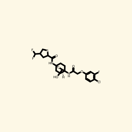 O=C(COc1ccc(Cl)c(F)c1)NC12CCC(NC(=O)C3CC(C(F)F)CS3)(CC1)C[C@@H]2O